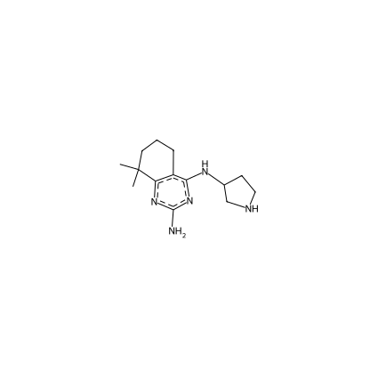 CC1(C)CCCc2c(NC3CCNC3)nc(N)nc21